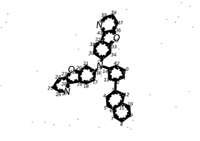 c1cc(-c2ccc3ccccc3c2)cc(N(c2ccc3c(c2)oc2cccnc23)c2ccc3c(c2)oc2cccnc23)c1